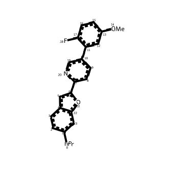 CCCc1ccc2cc(-c3ccc(-c4cc(OC)ccc4F)cn3)oc2c1